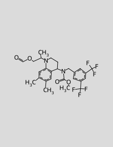 COC(=O)N(Cc1cc(C(F)(F)F)cc(C(F)(F)F)c1)C1CCN(C(C)COC=O)c2cc(C)c(C)cc21